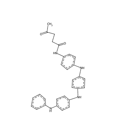 CC(=O)CCC(=O)Nc1ccc(Nc2ccc(Nc3ccc(Nc4ccccc4)cc3)cc2)cc1